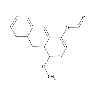 COc1ccc(OC=O)c2cc3ccccc3cc12